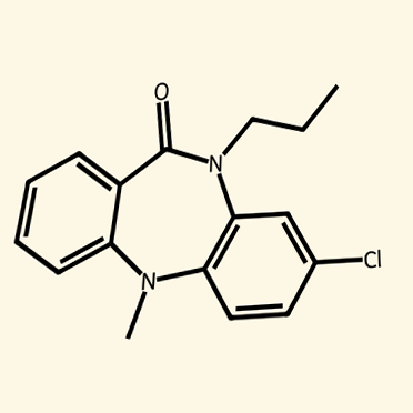 CCCN1C(=O)c2ccccc2N(C)c2ccc(Cl)cc21